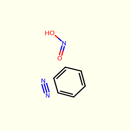 N#N.O=NO.c1ccccc1